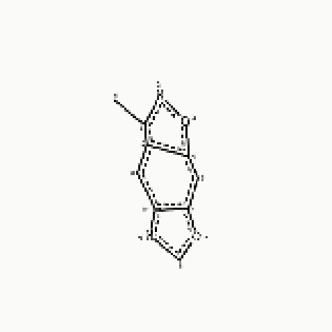 Cc1noc2cc3ocnc3cc12